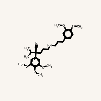 COc1ccc(CCCNCCCC(C#N)(c2cc(OC)c(OC)c(OC)c2)C(C)C)cc1OC